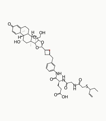 C=CC(CC)SCC(=O)NCC(=O)N[C@@H](CCC(=O)O)C(=O)Nc1cccc(CC23CC([C@@H]4OC5C[C@H]6C7CCC8=CC(=O)C=C[C@]8(C)[C@H]7[C@@H](O)C[C@]6(C)[C@]5(C(=O)CO)O4)(C2)C3)c1